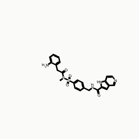 CN(C(=O)Cc1ccccc1N)S(=O)(=O)c1ccc(CNC(=O)c2cc3cnccc3[nH]2)cc1